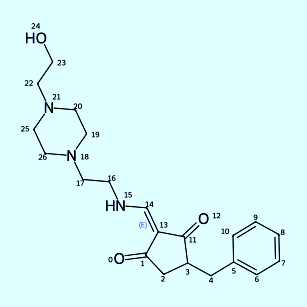 O=C1CC(Cc2ccccc2)C(=O)/C1=C/NCCN1CCN(CCO)CC1